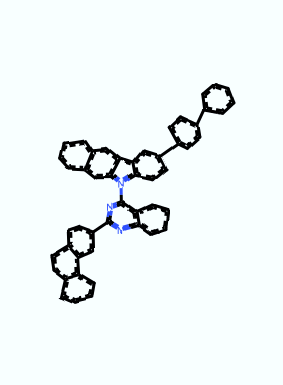 c1ccc(-c2ccc(-c3ccc4c(c3)c3cc5ccccc5cc3n4-c3nc(-c4ccc5ccc6ccccc6c5c4)nc4ccccc34)cc2)cc1